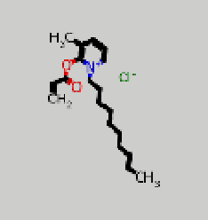 C=CC(=O)Oc1c(C)ccc[n+]1CCCCCCCCCC.[Cl-]